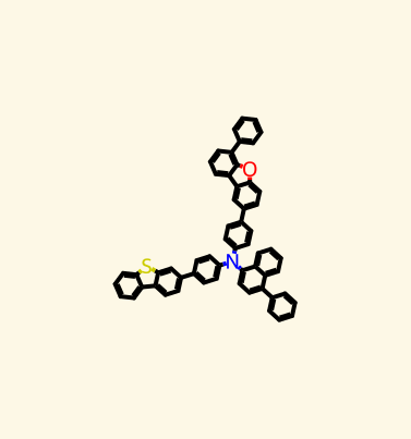 c1ccc(-c2ccc(N(c3ccc(-c4ccc5c(c4)sc4ccccc45)cc3)c3ccc(-c4ccc5oc6c(-c7ccccc7)cccc6c5c4)cc3)c3ccccc23)cc1